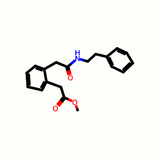 COC(=O)Cc1ccccc1CC(=O)NCCc1ccccc1